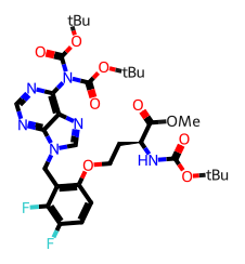 COC(=O)[C@H](CCOc1ccc(F)c(F)c1Cn1cnc2c(N(C(=O)OC(C)(C)C)C(=O)OC(C)(C)C)ncnc21)NC(=O)OC(C)(C)C